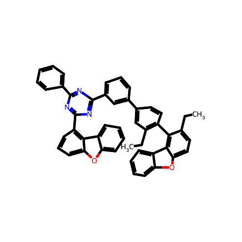 CCc1cc(-c2cccc(-c3nc(-c4ccccc4)nc(-c4cccc5oc6ccccc6c45)n3)c2)ccc1-c1c(CC)ccc2oc3ccccc3c12